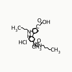 CCCCCNC(=O)N(C)c1cccc(-c2ccc(CCC(=O)O)cc2NCCCC)c1.Cl